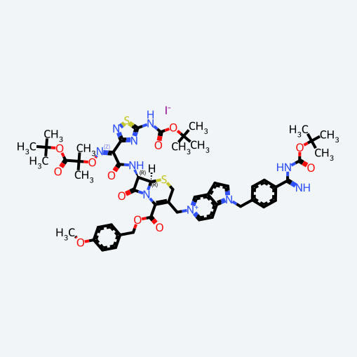 COc1ccc(COC(=O)C2=C(C[n+]3ccc4c(ccn4Cc4ccc(C(=N)NC(=O)OC(C)(C)C)cc4)c3)CS[C@@H]3[C@H](NC(=O)/C(=N\OC(C)(C)C(=O)OC(C)(C)C)c4nsc(NC(=O)OC(C)(C)C)n4)C(=O)N23)cc1.[I-]